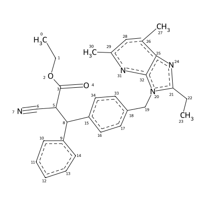 CCOC(=O)C(C#N)C(c1ccccc1)c1ccc(Cn2c(CC)nc3c(C)cc(C)nc32)cc1